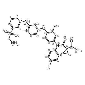 NCS(=O)(=O)c1cccc(Nc2nccc(Oc3ccc(N(C(=O)C4(C(N)=O)CC4)c4ccc(F)cc4)cc3F)n2)c1